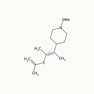 C=C(C)S/C(C)=C(\C)C1CCN(SC)CC1